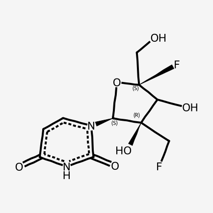 O=c1ccn([C@H]2O[C@](F)(CO)C(O)[C@]2(O)CF)c(=O)[nH]1